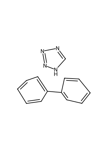 c1ccc(-c2ccccc2)cc1.c1nnn[nH]1